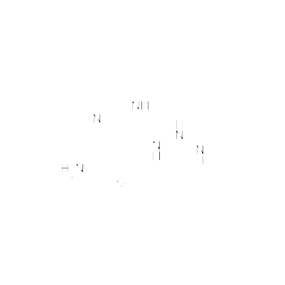 CNNNc1[nH]cnc1C(N)=O